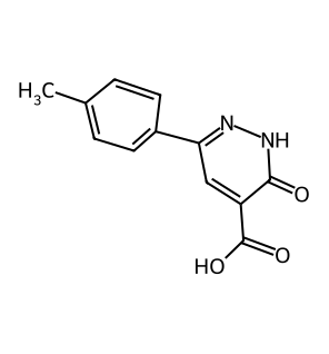 Cc1ccc(-c2cc(C(=O)O)c(=O)[nH]n2)cc1